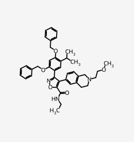 CCNC(=O)c1onc(-c2cc(C(C)C)c(OCc3ccccc3)cc2OCc2ccccc2)c1-c1ccc2c(c1)CCN(CCOC)C2